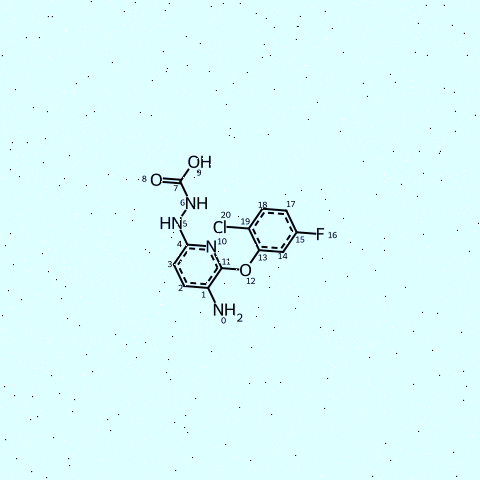 Nc1ccc(NNC(=O)O)nc1Oc1cc(F)ccc1Cl